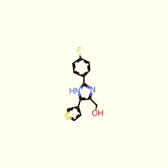 OCc1nc(-c2ccc(F)cc2)[nH]c1-c1ccsc1